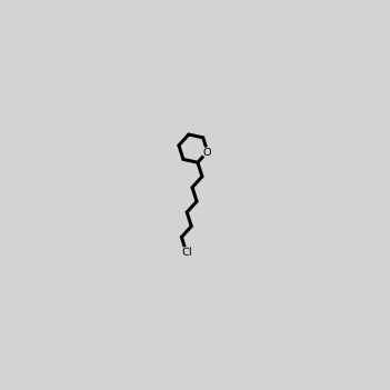 ClCCCCCCC1CCCCO1